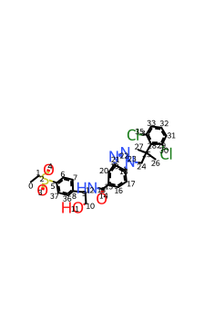 CCS(=O)(=O)c1ccc(C(CO)NC(=O)c2ccc3c(c2)nnn3CC(C)(C)c2c(Cl)cccc2Cl)cc1